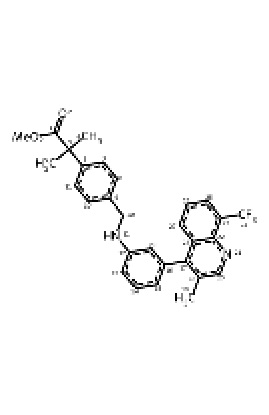 COC(=O)C(C)(C)c1ccc(CNc2cccc(-c3c(C)cnc4c(C(F)(F)F)cccc34)c2)cc1